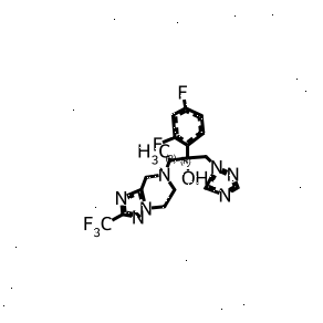 C[C@@H](N1CCn2nc(C(F)(F)F)nc2C1)[C@](O)(Cn1cncn1)c1ccc(F)cc1F